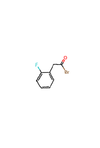 O=C(Br)Cc1ccccc1F